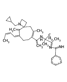 C=C(NC(C)(C)/C(C)=N/C(=N)c1ccccc1)/C1=C(\C)CC2(CCN2CC2CC2)C(=C)/C(=C\C=C/C)CC1